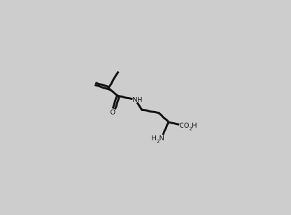 C=C(C)C(=O)NCCC(N)C(=O)O